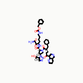 CC(C)(O)c1cnnn1[C@H]1C[C@@H](C(=O)NC(CCCCNC(=O)OCc2ccccc2)C(=O)C(N)=O)N(C(=O)[C@H](CCC(=O)c2cncc3cccnc23)CC2CCCCC2)C1